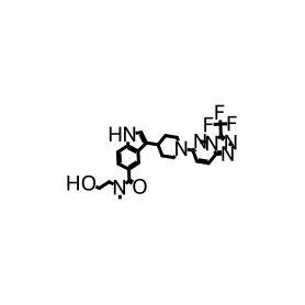 CN(CCO)C(=O)c1ccc2[nH]cc(C3CCN(c4ccc5nnc(C(F)(F)F)n5n4)CC3)c2c1